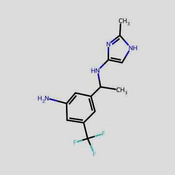 Cc1nc(NC(C)c2cc(N)cc(C(F)(F)F)c2)c[nH]1